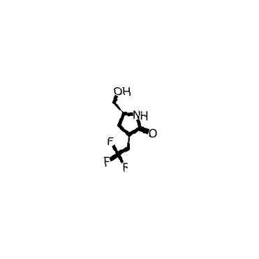 O=C1N[C@H](CO)C[C@@H]1CC(F)(F)F